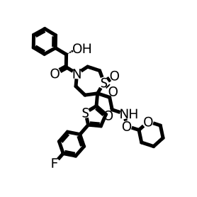 O=C(CC1(c2ccc(-c3ccc(F)cc3)s2)CCN(C(=O)[C@@H](O)c2ccccc2)CCS1(=O)=O)NOC1CCCCO1